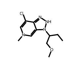 CCC(COC)N1NN=C2C(Cl)=CN(C)C=C21